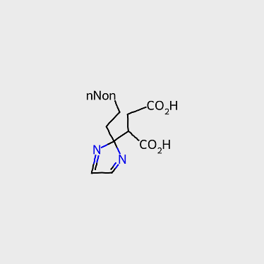 CCCCCCCCCCCC1(C(CC(=O)O)C(=O)O)N=CC=N1